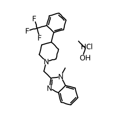 CCO.Cl.Cn1c(CN2CCC(c3ccccc3C(F)(F)F)CC2)nc2ccccc21